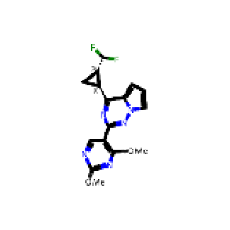 COc1ncc(-c2nc([C@H]3C[C@@H]3C(F)F)c3cccn3n2)c(OC)n1